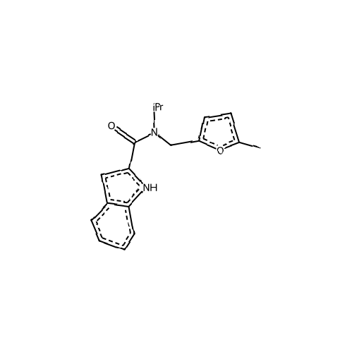 Cc1ccc(CN(C(=O)c2cc3ccccc3[nH]2)C(C)C)o1